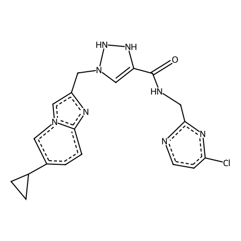 O=C(NCc1nccc(Cl)n1)C1=CN(Cc2cn3cc(C4CC4)ccc3n2)NN1